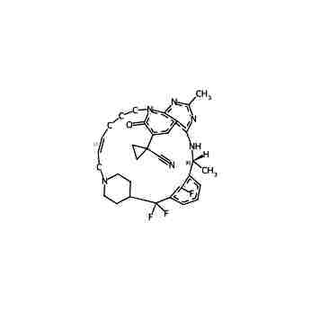 Cc1nc2c3cc(C4(C#N)CC4)c(=O)n(c3n1)CCC/C=C\CN1CCC(CC1)C(F)(F)c1cccc(c1F)[C@@H](C)N2